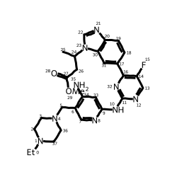 CCN1CCN(Cc2cnc(Nc3ncc(F)c(-c4ccc5ncn(C(C)CC(=O)OC)c5c4)n3)cc2N)CC1